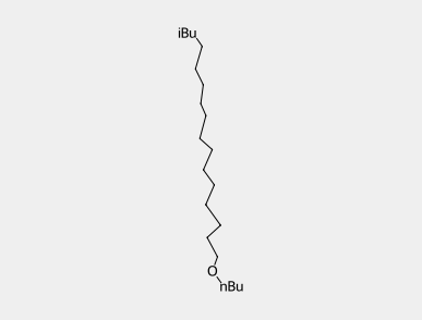 CCCCOCCCCCCCCCCCCCC(C)CC